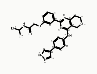 CCC(CC)NC(=O)COc1cccc(-c2nc3c(c(Nc4ccc(-c5cn[nH]c5)cc4)n2)COCC3)c1